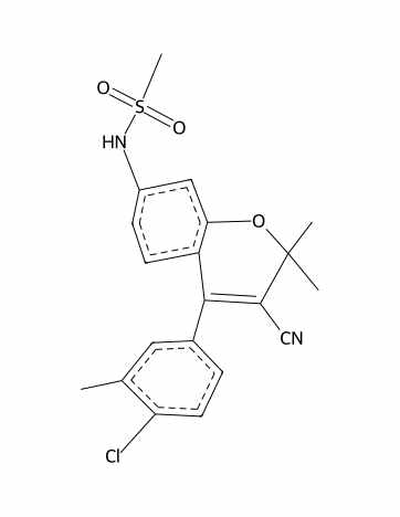 Cc1cc(C2=C(C#N)C(C)(C)Oc3cc(NS(C)(=O)=O)ccc32)ccc1Cl